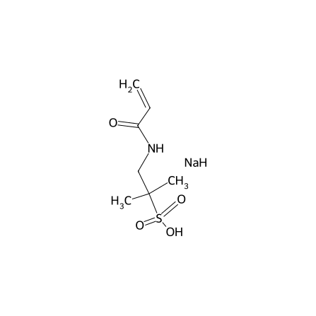 C=CC(=O)NCC(C)(C)S(=O)(=O)O.[NaH]